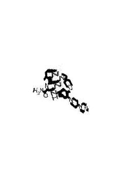 Cc1cc(Nc2nc(N3CCC34CCOCC4)c(-c3ncccc3C)nc2C(N)=O)ccc1N1CCC(N2CCN(C)CC2)CC1